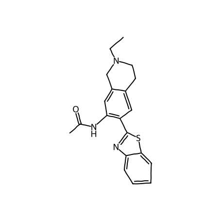 CCN1CCc2cc(-c3nc4ccccc4s3)c(NC(C)=O)cc2C1